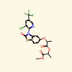 COC(=O)C(C)OC(=O)C(C)Oc1ccc2sc(=O)n(-c3ncc(C(F)(F)F)cc3Cl)c2c1